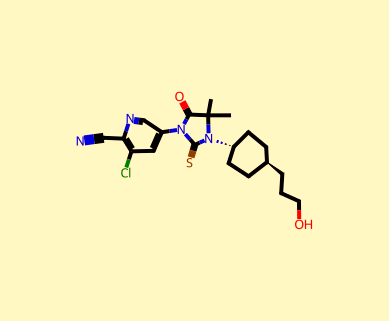 CC1(C)C(=O)N(c2cnc(C#N)c(Cl)c2)C(=S)N1[C@H]1CC[C@H](CCCO)CC1